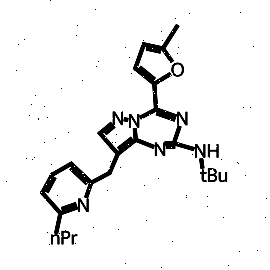 CCCc1cccc(Cc2cnn3c(-c4ccc(C)o4)nc(NC(C)(C)C)nc23)n1